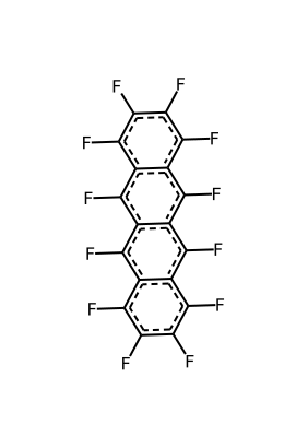 Fc1c(F)c(F)c2c(F)c3c(F)c4c(F)c(F)c(F)c(F)c4c(F)c3c(F)c2c1F